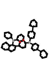 c1ccc(-c2ccc(N(c3ccc(-c4ccccc4)cc3)c3ccc(-c4ccc5ccccc5c4N(c4ccccc4)c4ccccc4)cc3)cc2)cc1